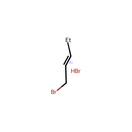 Br.CC/C=C/CBr